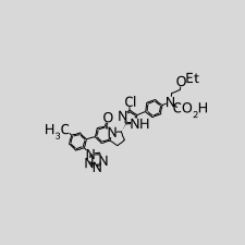 CCOCCN(C(=O)O)c1ccc(-c2[nH]c([C@@H]3CCc4cc(-c5cc(C)ccc5-n5cnnn5)cc(=O)n43)nc2Cl)cc1